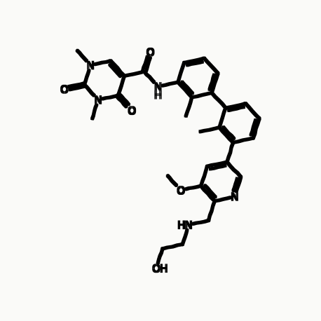 COc1cc(-c2cccc(-c3cccc(NC(=O)c4cn(C)c(=O)n(C)c4=O)c3C)c2C)cnc1CNCCO